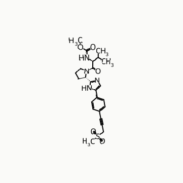 COC(=O)N[C@H](C(=O)N1CCC[C@H]1c1ncc(-c2ccc(C#CCS(C)(=O)=O)cc2)[nH]1)C(C)C